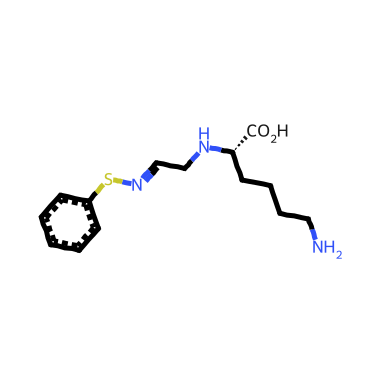 NCCCC[C@H](NCC=NSc1ccccc1)C(=O)O